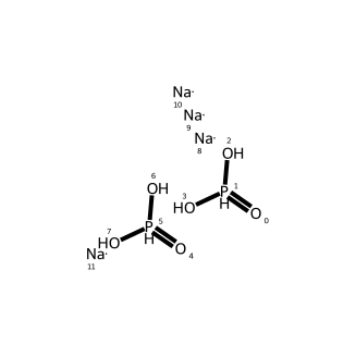 O=[PH](O)O.O=[PH](O)O.[Na].[Na].[Na].[Na]